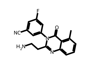 Cc1cccc2nc(CCN)n(-c3cc(F)cc(C#N)c3)c(=O)c12